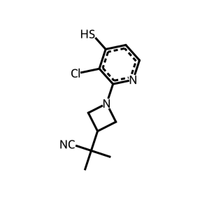 CC(C)(C#N)C1CN(c2nccc(S)c2Cl)C1